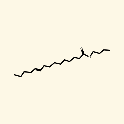 CCCC/C=C/CCCCCCCCC(=O)OCCCC